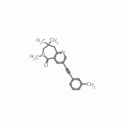 Cc1cccc(C#Cc2cnc3c(c2)C(=O)N(C)CC(C)(C)C3)c1